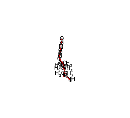 COC(CC1CCCC(C(=O)CCCCCNC=O)O1)/C(C)=C/C=C/C=C/C(C)CC(C)C(=O)CC(O)/C(C)=C/C(C)C(=O)CC(CCC1CCC(OCCOCCOCCOCCOCCOCCOCCOCCOCCC=O)CC1)OC=O